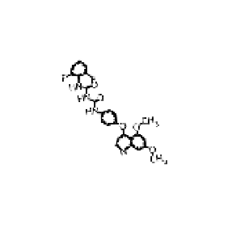 COc1cc(OC)c2c(Oc3ccc(NC(=O)NC(=O)Nc4c(F)cccc4F)cc3)ccnc2c1